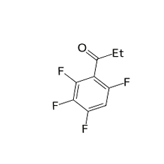 [CH2]CC(=O)c1c(F)cc(F)c(F)c1F